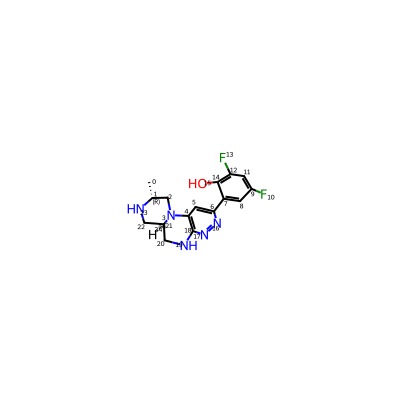 C[C@@H]1CN2c3cc(-c4cc(F)cc(F)c4O)nnc3NC[C@H]2CN1